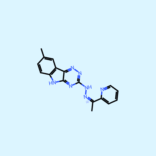 C/C(=N/Nc1nnc2c(n1)[nH]c1ccc(C)cc12)c1ccccn1